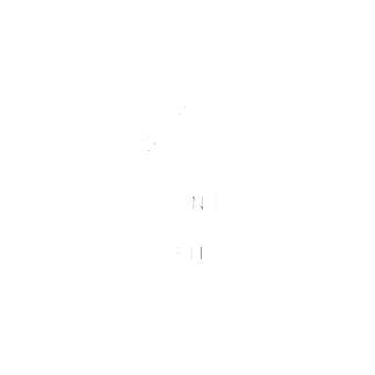 Cc1cccc2c(=O)c(C(=O)C3CC3)c[nH]c12